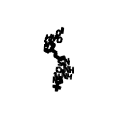 CCOC(=O)Nc1cc(CCc2cnc(NC(=O)Nc3cc(C(C)(C)C)nn3C)s2)ccn1